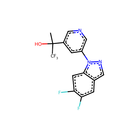 CC(O)(c1cncc(-n2ncc3cc(F)c(F)cc32)c1)C(F)(F)F